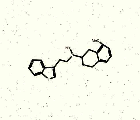 CCCN(CCc1csc2ccccc12)C1CCc2cccc(OC)c2C1